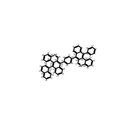 c1ccc(-c2c3ccccc3c(-c3ccc(-c4c5ccccc5c(-c5cccc6ccccc56)c5c4cnc4ccccc45)cc3)c3cnc4ccccc4c23)cc1